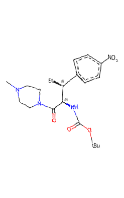 CC[C@@H](c1ccc([N+](=O)[O-])cc1)[C@@H](NC(=O)OC(C)(C)C)C(=O)N1CCN(C)CC1